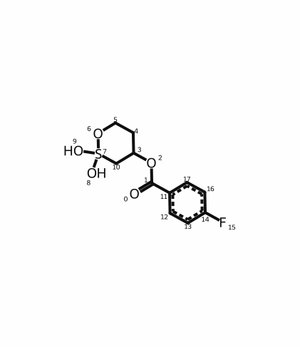 O=C(OC1CCOS(O)(O)C1)c1ccc(F)cc1